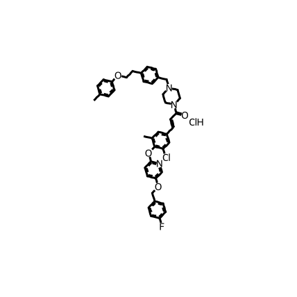 Cc1ccc(OCCc2ccc(CN3CCN(C(=O)/C=C/c4cc(C)c(Oc5ccc(OCc6ccc(F)cc6)cn5)c(Cl)c4)CC3)cc2)cc1.Cl